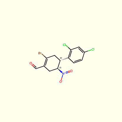 O=CC1=C(Br)C[C@H](c2ccc(Cl)cc2Cl)[C@@H]([N+](=O)[O-])C1